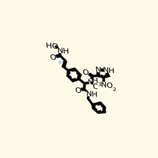 CN(C(=O)c1n[nH]cc1[N+](=O)[O-])C(C(=O)NCc1ccccc1)c1ccc(/C=C/C(=O)NO)cc1